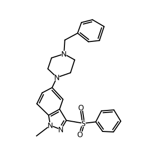 Cn1nc(S(=O)(=O)c2ccccc2)c2cc(N3CCN(Cc4ccccc4)CC3)ccc21